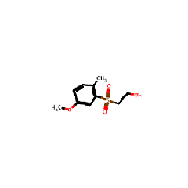 COc1ccc(C)c(S(=O)(=O)CCO)c1